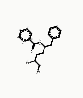 CC(C)C[C@H](CC[C@H](Cc1ccccc1)NC(=O)c1cnccn1)C(C)C